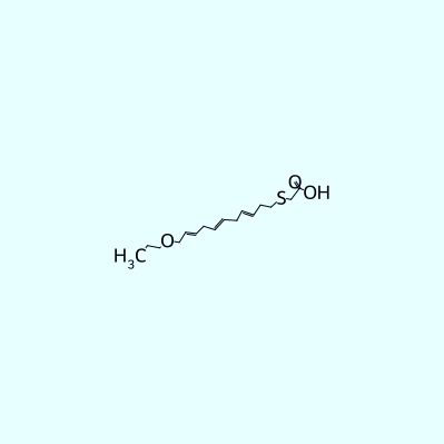 CCCOCC=CCC=CCC=CCCSCC(=O)O